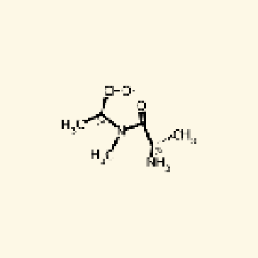 C[C@H](N)C(=O)N(C)[C@@H](C)[C]=O